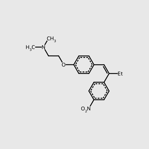 CCC(=Cc1ccc(OCCN(C)C)cc1)c1ccc([N+](=O)[O-])cc1